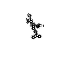 O=C(NS(=O)(=O)c1ccc(NCC2CCOCC2)c([N+](=O)[O-])c1)c1ccc(N2CCC(CN3Cc4ccccc4CC3c3ccccc3)CC2)cc1Oc1cnc2[nH]ccc2c1